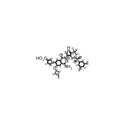 CN1CC(Oc2cc(C(N)=O)c(C(=O)Nc3n[nH]c4c3CN(S(=O)(=O)c3cc(F)cc(F)c3)CC4(C)C)cc2-n2ccc(C(=O)O)c2)C1